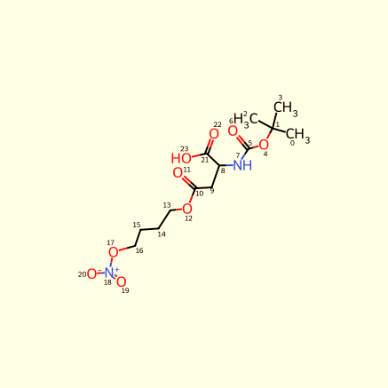 CC(C)(C)OC(=O)NC(CC(=O)OCCCCO[N+](=O)[O-])C(=O)O